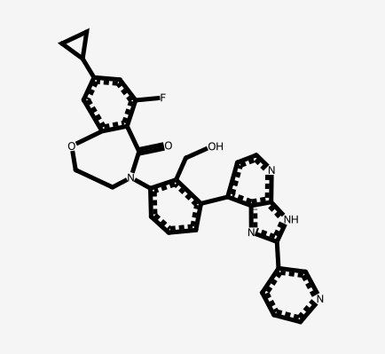 O=C1c2c(F)cc(C3CC3)cc2OCCN1c1cccc(-c2ccnc3[nH]c(-c4cccnc4)nc23)c1CO